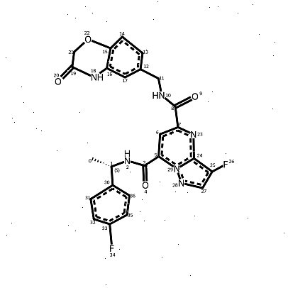 C[C@H](NC(=O)c1cc(C(=O)NCc2ccc3c(c2)NC(=O)CO3)nc2c(F)cnn12)c1ccc(F)cc1